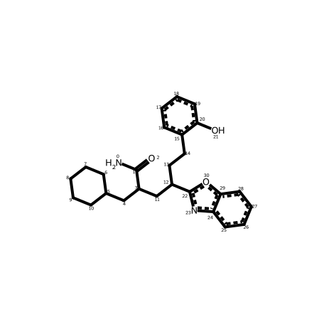 NC(=O)C(CC1CCCCC1)CC(CCc1ccccc1O)c1nc2ccccc2o1